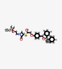 CC(C)(C)[Si](C)(C)OCCN1C[C@H](SC(=O)COc2ccc(CO[Si](c3ccccc3)(c3ccccc3)C(C)(C)C)cc2)C1=O